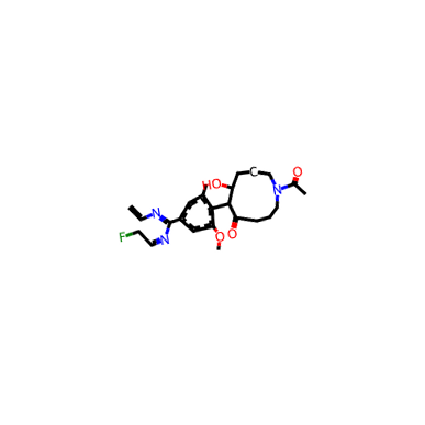 C=C/N=C(\N=C/CF)c1cc(C)c(C2C(=O)CCCN(C(C)=O)CCCC2O)c(OC)c1